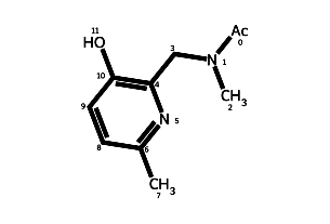 CC(=O)N(C)Cc1nc(C)ccc1O